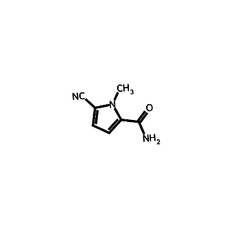 Cn1c(C#N)ccc1C(N)=O